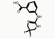 O=C(O)c1cccc(NC2=NCC(F)(F)CN2)c1